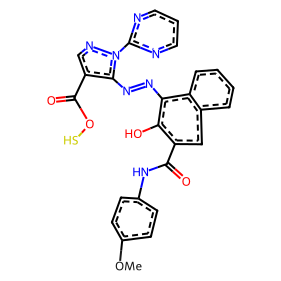 COc1ccc(NC(=O)c2cc3ccccc3c(/N=N/c3c(C(=O)OS)cnn3-c3ncccn3)c2O)cc1